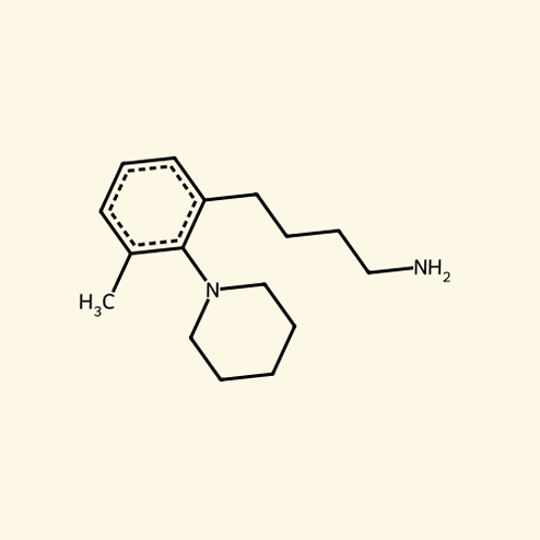 Cc1cccc(CCCCN)c1N1CCCCC1